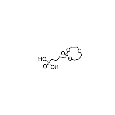 O=P(O)(O)CCCCP1(=O)OCCCCCCO1